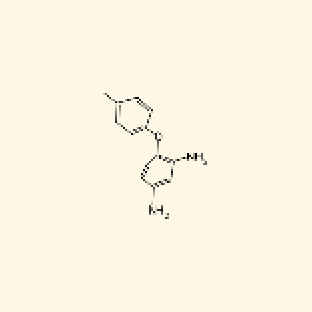 Cc1ccc(Oc2ccc(N)cc2N)cc1